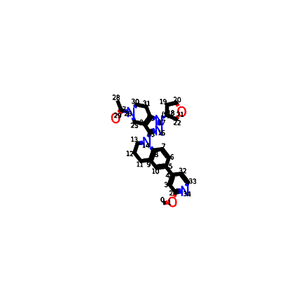 COc1cc(-c2ccc3c(c2)CCCN3c2nn([C@H]3CCOC3)c3c2CN(C(C)=O)CC3)ccn1